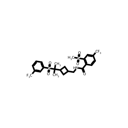 CC(C)(C1CC(CNC(=O)c2ccc(C(F)(F)F)cc2S(C)(=O)=O)C1)S(=O)(=O)c1cccc(C(F)(F)F)c1